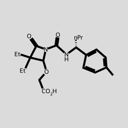 CCC[C@@H](NC(=O)N1C(=O)C(CC)(CC)C1OCC(=O)O)c1ccc(C)cc1